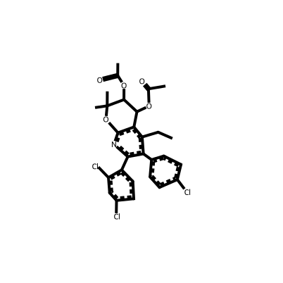 CCc1c(-c2ccc(Cl)cc2)c(-c2ccc(Cl)cc2Cl)nc2c1C(OC(C)=O)C(OC(C)=O)C(C)(C)O2